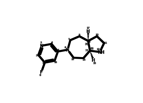 Fc1cncc(N2CC[C@H]3CCN[C@H]3CC2)c1